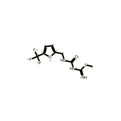 CSC(=N)NC(=O)NCc1ccc(C(F)(F)F)o1